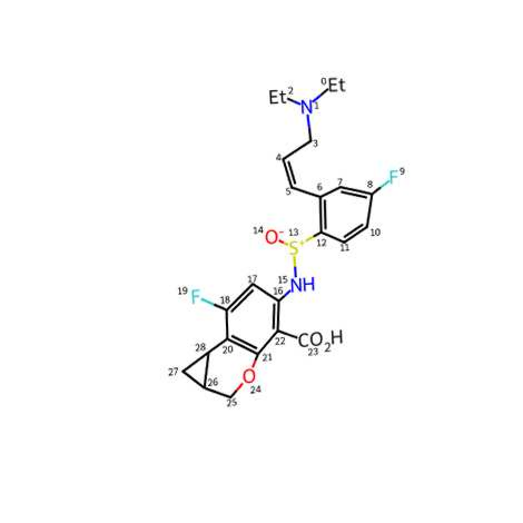 CCN(CC)C/C=C\c1cc(F)ccc1[S+]([O-])Nc1cc(F)c2c(c1C(=O)O)OCC1CC21